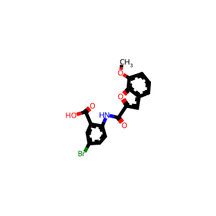 COc1cccc2cc(C(=O)Nc3ccc(Br)cc3C(=O)O)oc12